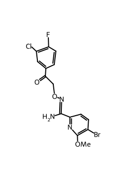 COc1nc(/C(N)=N/OCC(=O)c2ccc(F)c(Cl)c2)ccc1Br